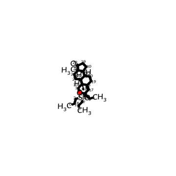 CCC[Si](CCC)(CCC)OC[C@]12CCC(=O)C=C1CC[C@@H]1[C@@H]2CC[C@]2(C)C(=O)CC[C@@H]12